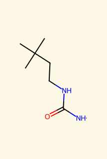 CC(C)(C)CCNC([NH])=O